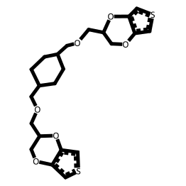 c1scc2c1OCC(COCC1CCC(COCC3COc4cscc4O3)CC1)O2